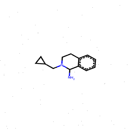 NC1c2ccccc2CCN1CC1CC1